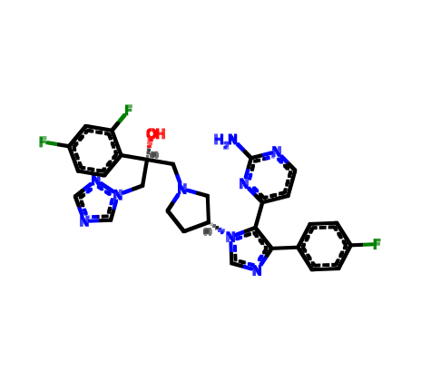 Nc1nccc(-c2c(-c3ccc(F)cc3)ncn2[C@@H]2CCN(C[C@@](O)(Cn3cncn3)c3ccc(F)cc3F)C2)n1